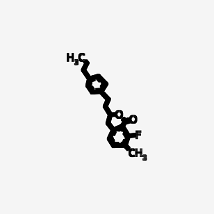 CCCc1ccc(CCC2Cc3ccc(C)c(F)c3C(=O)O2)cc1